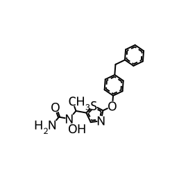 CC(c1cnc(Oc2ccc(Cc3ccccc3)cc2)s1)N(O)C(N)=O